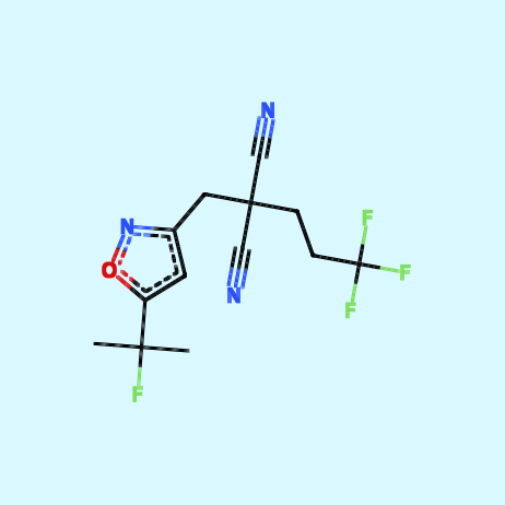 CC(C)(F)c1cc(CC(C#N)(C#N)CCC(F)(F)F)no1